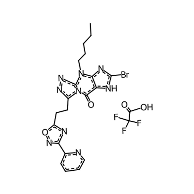 CCCCCn1c2nc(Br)[nH]c2c(=O)n2c(CCc3nc(-c4ccccn4)no3)nnc12.O=C(O)C(F)(F)F